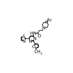 CC(=O)N1CCN(CCC(=O)Nc2cc(-c3nccs3)nc(-c3ccc(C)o3)n2)CC1